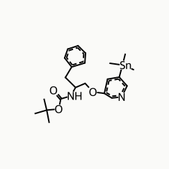 CC(C)(C)OC(=O)NC(COc1cnc[c]([Sn]([CH3])([CH3])[CH3])c1)Cc1ccccc1